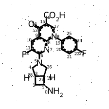 N[C@H]1C[C@H]2CN(c3nc4c(cc3F)c(=O)c(C(=O)O)cn4-c3ccc(F)cc3)C[C@H]21